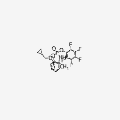 C[C@H](NP(=O)(Oc1ccccc1)Oc1c(F)c(F)c(F)c(F)c1F)C(=O)OCC1CC1